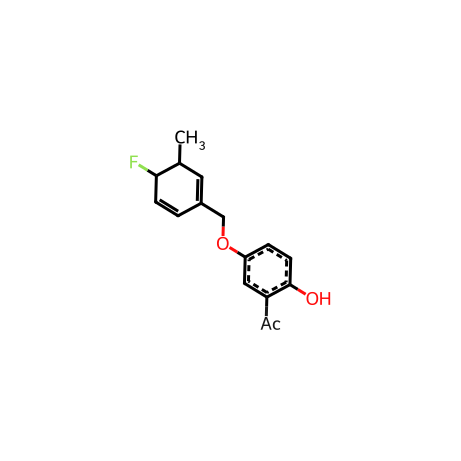 CC(=O)c1cc(OCC2=CC(C)C(F)C=C2)ccc1O